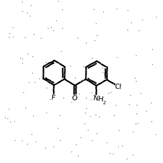 Nc1c(C(=O)c2ccccc2F)[c]ccc1Cl